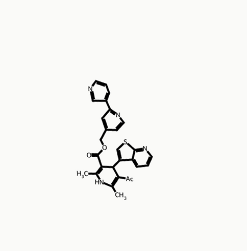 CC(=O)C1=C(C)NC(C)=C(C(=O)OCc2ccnc(-c3cccnc3)c2)C1c1csc2ncccc12